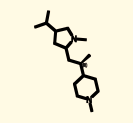 CC(C)C1CC(C[C@@H](C)C2CCN(C)CC2)N(C)C1